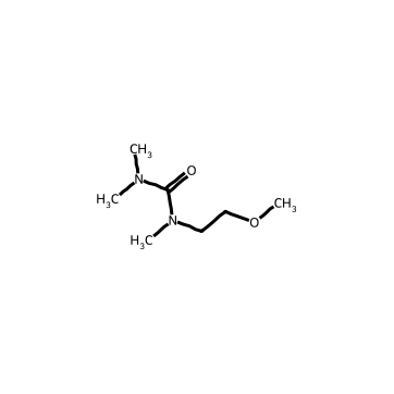 COCCN(C)C(=O)N(C)C